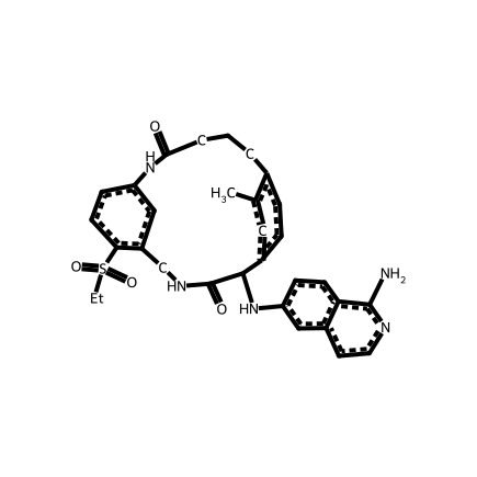 CCS(=O)(=O)c1ccc2cc1CNC(=O)C(Nc1ccc3c(N)nccc3c1)c1ccc(c(C)c1)CCCC(=O)N2